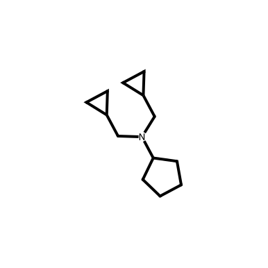 C1CCC(N(CC2CC2)CC2CC2)C1